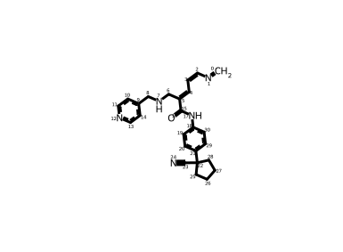 C=N/C=C\C=C(/CNCc1ccncc1)C(=O)Nc1ccc(C2(C#N)CCCC2)cc1